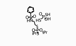 CC(C)OP(=S)(OC(C)C)SCCNS(=O)(=O)c1ccccc1.O=P(O)(S)S